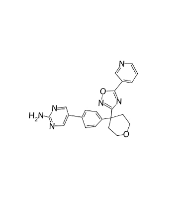 Nc1ncc(-c2ccc(C3(c4noc(-c5cccnc5)n4)CCOCC3)cc2)cn1